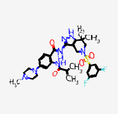 CC(C)C(=O)Nc1cc(N2CCN(C)CC2)ccc1C(=O)Nc1n[nH]c2c1CN(S(=O)(=O)c1cc(F)cc(F)c1)CC2(C)C